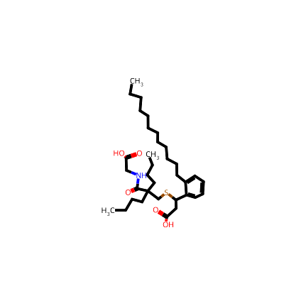 CCCCCCCCCCCCc1ccccc1C(CC(=O)O)SCC(CCCC)(CCCC)C(=O)NCC(=O)O